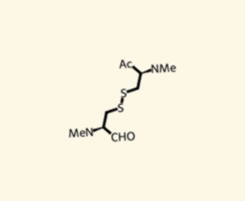 CN[C@H](C=O)CSSC[C@H](NC)C(C)=O